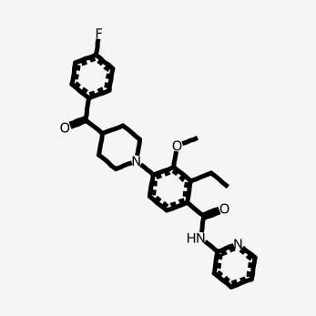 CCc1c(C(=O)Nc2ccccn2)ccc(N2CCC(C(=O)c3ccc(F)cc3)CC2)c1OC